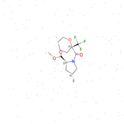 COC(=O)[C@@H]1C[C@@H](F)CN1C(=O)[C@]1(C(F)(F)F)CCCCO1